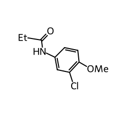 CCC(=O)Nc1ccc(OC)c(Cl)c1